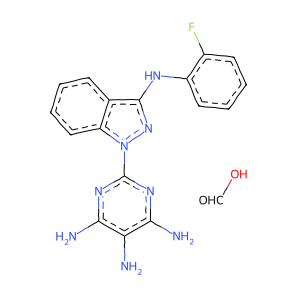 Nc1nc(-n2nc(Nc3ccccc3F)c3ccccc32)nc(N)c1N.O=CO